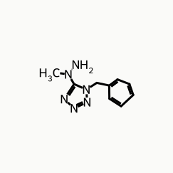 CN(N)c1nnnn1Cc1ccccc1